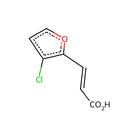 O=C(O)C=Cc1occc1Cl